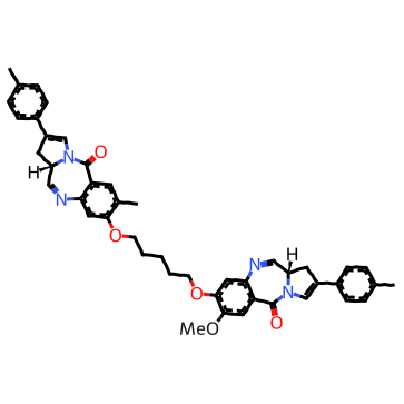 COc1cc2c(cc1OCCCCCOc1cc3c(cc1C)C(=O)N1C=C(c4ccc(C)cc4)C[C@H]1C=N3)N=C[C@@H]1CC(c3ccc(C)cc3)=CN1C2=O